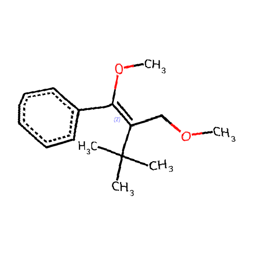 COC/C(=C(\OC)c1ccccc1)C(C)(C)C